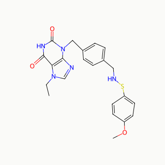 CCn1cnc2c1c(=O)[nH]c(=O)n2Cc1ccc(CNSc2ccc(OC)cc2)cc1